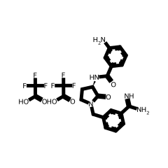 N=C(N)c1cccc(CN2CC[C@H](NC(=O)c3cccc(N)c3)C2=O)c1.O=C(O)C(F)(F)F.O=C(O)C(F)(F)F